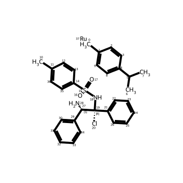 Cc1ccc(C(C)C)cc1.Cc1ccc(S(=O)(=O)N[C@@](Cl)(c2ccccc2)[C@@H](N)c2ccccc2)cc1.[Ru]